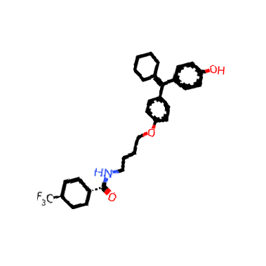 O=C(NCCCCOc1ccc(C(=C2CCCCC2)c2ccc(O)cc2)cc1)[C@H]1CC[C@H](C(F)(F)F)CC1